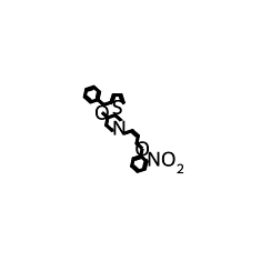 O=[N+]([O-])c1ccccc1OC/C=C\CN1CCC(OC(c2ccccc2)c2cccs2)CC1